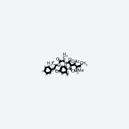 C=N/C(C(=O)N[C@@H](C)C(=O)O[C@@H](C)[C@H](Oc1cccc(F)c1)c1ccccc1)=C(OC(C)=O)\C(=C/C)OC